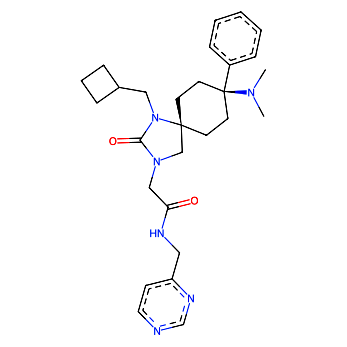 CN(C)[C@]1(c2ccccc2)CC[C@@]2(CC1)CN(CC(=O)NCc1ccncn1)C(=O)N2CC1CCC1